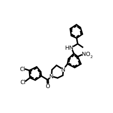 CC(Nc1cc(N2CCN(C(=O)c3ccc(Cl)c(Cl)c3)CC2)ccc1[N+](=O)[O-])c1ccccc1